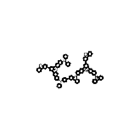 c1ccc(N(c2ccccc2)c2ccc3cc4c5cc(-c6ccc7oc8ccccc8c7c6)cc6c7cc8ccc(N(c9ccccc9)c9ccc(-c%10ccc%11c(c%10)c%10ccccc%10n%11-c%10ccc%11cc%12c%13cc(-c%14ccc%15oc%16ccccc%16c%15c%14)cc%14c%15cc%16ccc(-n%17c%18ccccc%18c%18ccccc%18%17)cc%16cc%15n(c%12cc%11c%10)c%14%13)cc9)cc8cc7n(c4cc3c2)c56)cc1